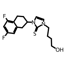 OCCCCn1ccn(C2CCc3c(F)cc(F)cc3C2)c1=S